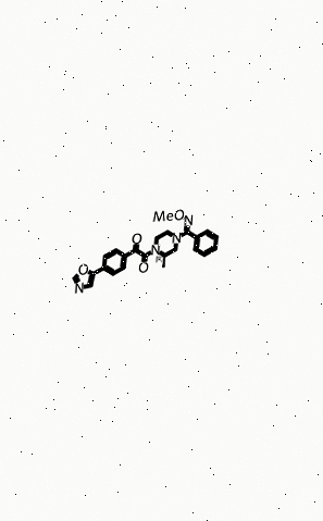 CON=C(c1ccccc1)N1CCN(C(=O)C(=O)c2ccc(-c3cnco3)cc2)[C@H](C)C1